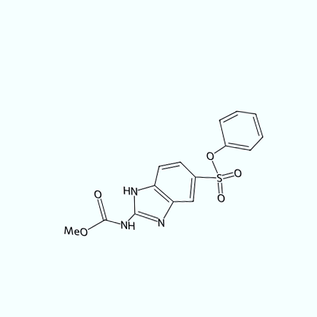 COC(=O)Nc1nc2cc(S(=O)(=O)Oc3ccccc3)ccc2[nH]1